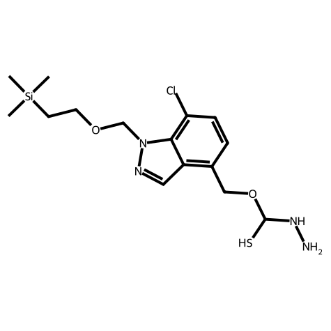 C[Si](C)(C)CCOCn1ncc2c(COC(S)NN)ccc(Cl)c21